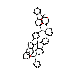 CC1(C)c2ccccc2-c2ccc(N(c3ccc4c(c3)C3(c5ccccc5-c5ccc(N(c6ccccc6)c6ccccc6)cc53)c3c-4sc4ccccc34)c3ccccc3-c3ccccc3)cc21